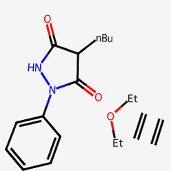 C=C.C=C.CCCCC1C(=O)NN(c2ccccc2)C1=O.CCOCC